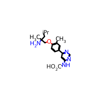 Cc1cc(-c2cc(NC(=O)O)ncn2)ccc1OCC(C)(N)CC(C)C